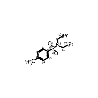 Cc1ccc(S(=O)(=O)N(CC(C)C)CC(C)C)cc1